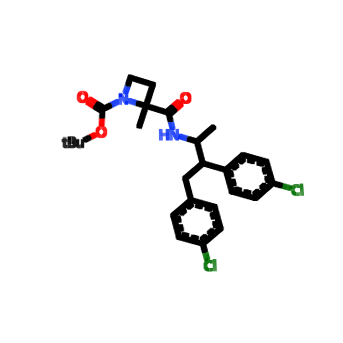 CC(NC(=O)C1(C)CCN1C(=O)OC(C)(C)C)C(Cc1ccc(Cl)cc1)c1ccc(Cl)cc1